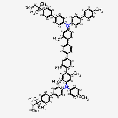 CCc1cc(-c2ccc(-c3ccc(N(c4ccc(-c5ccc(C)cc5)cc4)c4ccc(-c5ccc(C(C)(C)CC(C)(C)C)cc5)cc4)cc3C)cc2)ccc1-c1cc(C)c(N(c2ccc(C)cc2)c2ccc(-c3ccc(C(C)(C)CC(C)(C)C)cc3)cc2)cc1C